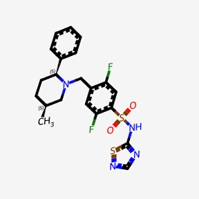 C[C@H]1CC[C@@H](c2ccccc2)N(Cc2cc(F)c(S(=O)(=O)Nc3ncns3)cc2F)C1